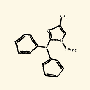 CCCCCn1cc(C)nc1P(c1ccccc1)c1ccccc1